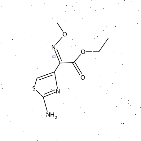 CCOC(=O)/C(=N\OC)c1csc(N)n1